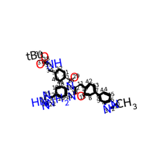 Cn1cnc2cc(-c3ccc(C[C@@H](C(N)=O)N(c4ccc(-c5nn[nH]n5)cc4)C(=O)[C@H]4CC[C@H](CNC(=O)OC(C)(C)C)CC4)cc3)ccc21